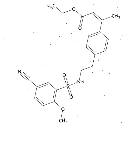 CCOC(=O)/C=C(/C)c1ccc(CCNS(=O)(=O)c2cc(C#N)ccc2OC)cc1